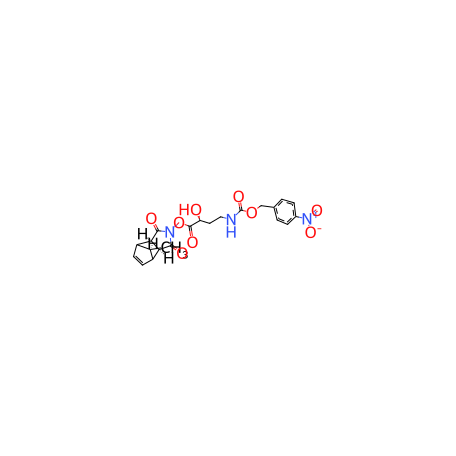 C[C@@H]1C2C=CC1[C@@H]1C(=O)N(OC(=O)[C@@H](O)CCNC(=O)OCc3ccc([N+](=O)[O-])cc3)C(=O)[C@H]21